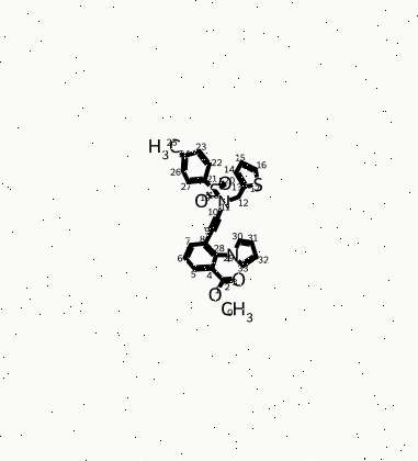 COC(=O)c1cccc(C#CN(Cc2cccs2)S(=O)(=O)c2ccc(C)cc2)c1-n1cccc1